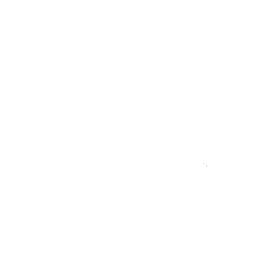 Cc1cc([N+](=O)[O-])ccc1OCc1cc2ccccc2s1